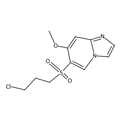 COc1cc2nccn2cc1S(=O)(=O)CCCCl